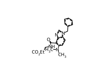 CCOC(=O)CNC(=O)c1c(N(C)C)ccc2c1ncn2Cc1ccccc1